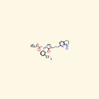 CC(C)(C)OC(=O)C[C@@H](c1cccc(C(F)(F)F)c1)N1CCN(CCCc2ccc3c(n2)NCCC3)C1=O